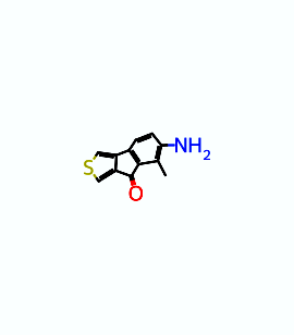 Cc1c(N)ccc2c1C(=O)c1cscc1-2